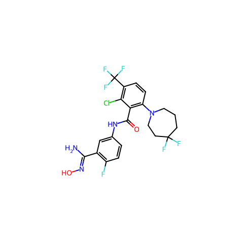 NC(=NO)c1cc(NC(=O)c2c(N3CCCC(F)(F)CC3)ccc(C(F)(F)F)c2Cl)ccc1F